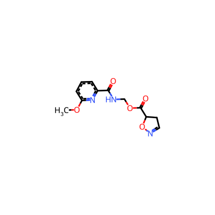 COc1cccc(C(=O)NCOC(=O)C2CC=NO2)n1